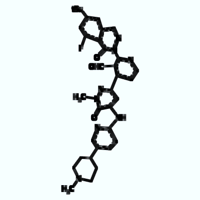 CN1CCC(c2ccc(Nc3cc(-c4ccnc(-n5ncc6cc(C(C)(C)C)cc(F)c6c5=O)c4C=O)nn(C)c3=O)nc2)CC1